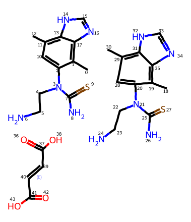 Cc1c(N(CCN)C(N)=S)cc(C)c2[nH]cnc12.Cc1c(N(CCN)C(N)=S)cc(C)c2[nH]cnc12.O=C(O)/C=C/C(=O)O